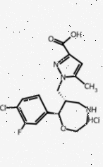 Cc1cc(C(=O)O)nn1C[C@@H]1CNCCO[C@H]1c1ccc(Cl)c(F)c1.Cl